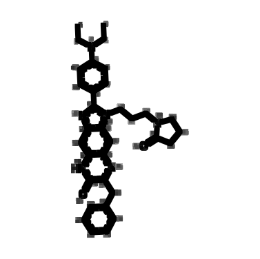 CCN(CC)c1ccc(-c2nc3cc4[nH]c(=O)c(Cc5ccccc5)nc4cc3n2CCCN2CCCC2=O)cc1